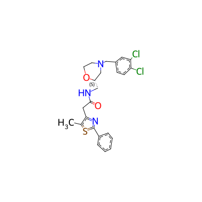 Cc1sc(-c2ccccc2)nc1CC(=O)NC[C@H]1CN(Cc2ccc(Cl)c(Cl)c2)CCO1